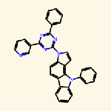 c1ccc(-c2nc(-c3cccnc3)nc(-n3ccc4c3ccc3c5ccccc5n(-c5ccccc5)c34)n2)cc1